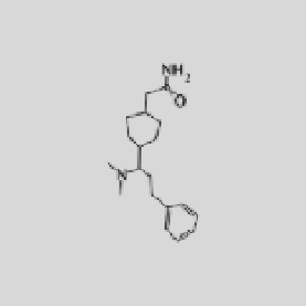 CN(C)C(CCc1ccccc1)C1CCC(CC(N)=O)CC1